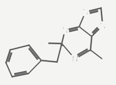 ClC1=NC(Cl)(Cc2ccccc2)N=C2N=CN=C12